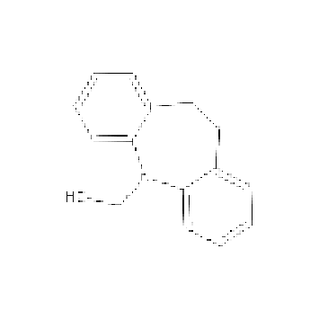 N#CCN1c2ccccc2CCc2ccccc21